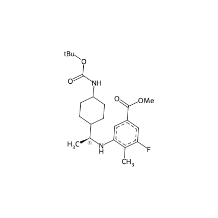 COC(=O)c1cc(F)c(C)c(N[C@@H](C)C2CCC(NC(=O)OC(C)(C)C)CC2)c1